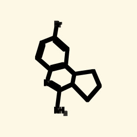 NC1=Nc2ccc(Br)cc2C2CCCC12